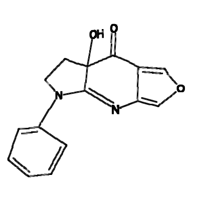 O=C1c2cocc2N=C2N(c3ccccc3)CCC12O